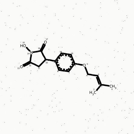 CC(C)=CCOc1ccc(C2CC(=O)N(O)C2=O)cc1